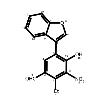 CCc1c(C=O)cc(-c2coc3ccccc23)c(O)c1[N+](=O)[O-]